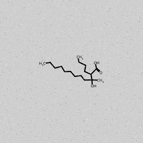 CCCCCCCCCC(C)(O)C(CCCC)C(=O)O